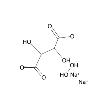 O=C([O-])C(O)C(O)C(=O)[O-].OO.[Na+].[Na+]